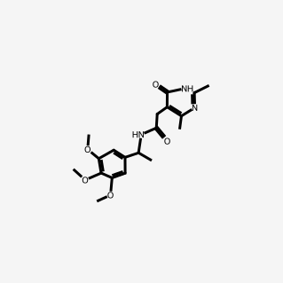 COc1cc(C(C)NC(=O)Cc2c(C)nc(C)[nH]c2=O)cc(OC)c1OC